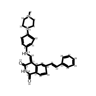 CN1CCN(c2ccc(NC=C3C(=O)NC(=O)c4ccc(C=Cc5ccccc5)cc43)cc2)CC1